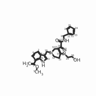 C=C(OC)c1cccc2c(CN3CCc4c(c(C(=O)NCc5ccccc5)nn4CCO)C3)c[nH]c12